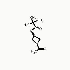 CC(=O)N1CC(=N[S+]([O-])C(C)(C)C)C1